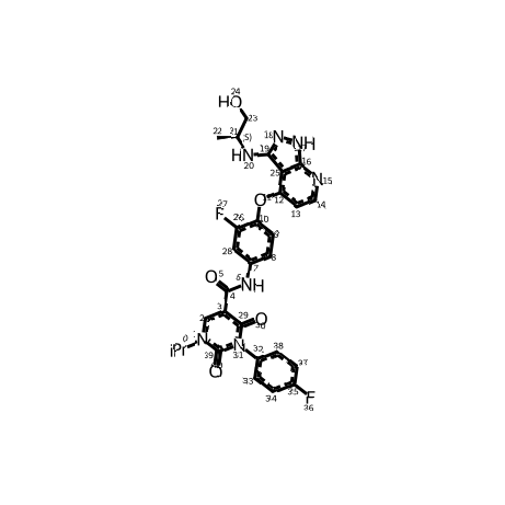 CC(C)n1cc(C(=O)Nc2ccc(Oc3ccnc4[nH]nc(N[C@@H](C)CO)c34)c(F)c2)c(=O)n(-c2ccc(F)cc2)c1=O